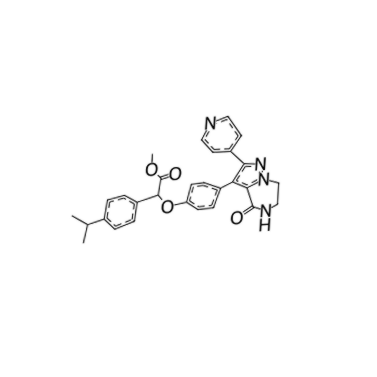 COC(=O)C(Oc1ccc(-c2c(-c3ccncc3)nn3c2C(=O)NCC3)cc1)c1ccc(C(C)C)cc1